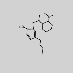 CCCCc1ccc(O)c(CN(C)[C@@H]2CCCC[C@H]2N(C)C)c1